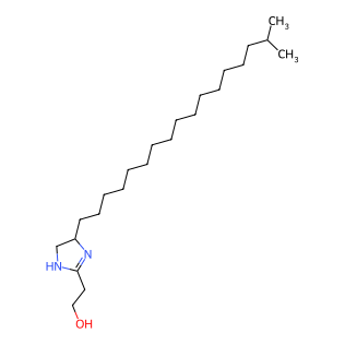 CC(C)CCCCCCCCCCCCCCCC1CNC(CCO)=N1